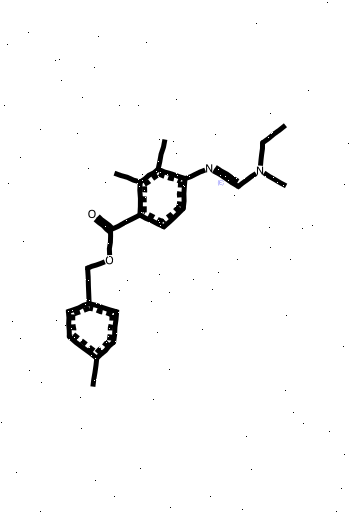 CCN(C)/C=N/c1ccc(C(=O)OCc2ccc(C)cc2)c(C)c1C